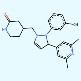 Cc1cc(C2C=CN(CC3CCNC(=O)C3)N2c2cccc(C#N)c2)cc(C)n1